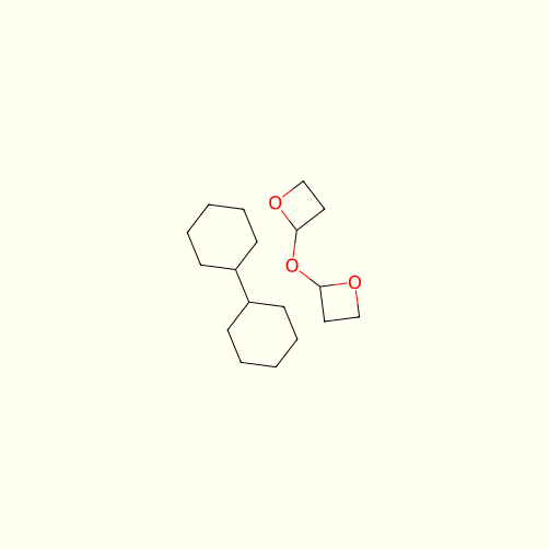 C1CC(OC2CCO2)O1.C1CCC(C2CCCCC2)CC1